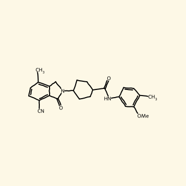 COc1cc(NC(=O)C2CCC(N3Cc4c(C)ccc(C#N)c4C3=O)CC2)ccc1C